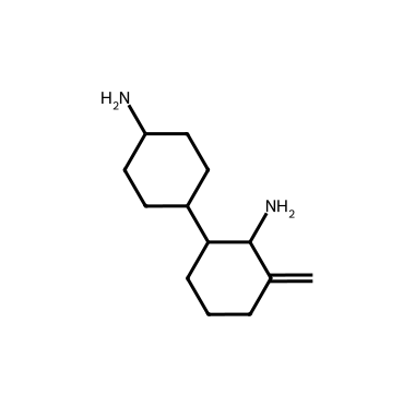 C=C1CCCC(C2CCC(N)CC2)C1N